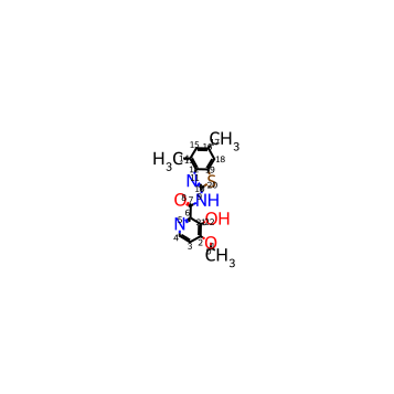 COc1ccnc(C(=O)Nc2nc3c(C)cc(C)cc3s2)c1O